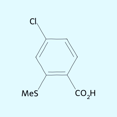 CSc1cc(Cl)ccc1C(=O)O